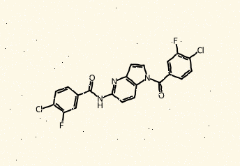 O=C(Nc1ccc2c(ccn2C(=O)c2ccc(Cl)c(F)c2)n1)c1ccc(Cl)c(F)c1